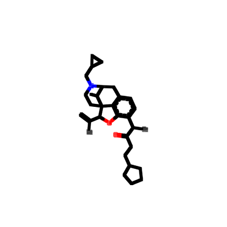 C=C(CC)C1Oc2c(C(CC)C(=O)CCC3CCCC3)ccc3c2C12CCN(CC1CC1)C(C3)C2C